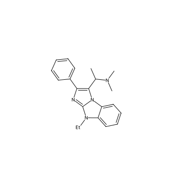 CCn1c2ccccc2n2c(C(C)N(C)C)c(-c3ccccc3)nc12